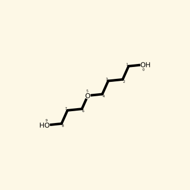 OCCCCOCCCO